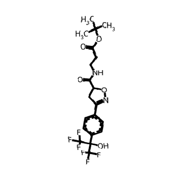 CC(C)(C)OC(=O)CCNC(=O)C1CC(c2ccc(C(O)(C(F)(F)F)C(F)(F)F)cc2)=NO1